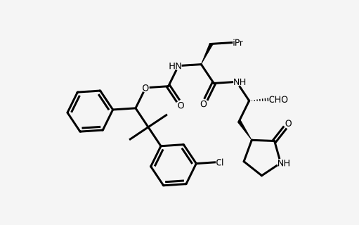 CC(C)C[C@H](NC(=O)OC(c1ccccc1)C(C)(C)c1cccc(Cl)c1)C(=O)N[C@H](C=O)C[C@@H]1CCNC1=O